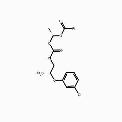 CC(C)C(=O)O[C@@H](C)OC(=O)NC[C@H](Oc1cccc(Cl)c1)C(=O)O